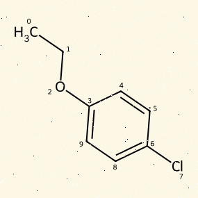 CCOc1c[c]c(Cl)cc1